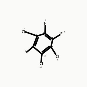 Cc1c(Cl)c(F)c(F)c(Cl)c1Cl